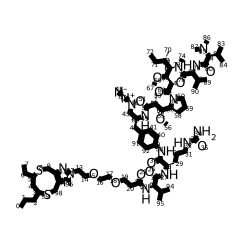 CCCC1CC(CC)SCc2nn(CCOCCOCCC(=O)N[C@H](C(=O)N[C@@H](CCCNC(N)=O)C(=O)NC3C=CC(C[C@@H](CN=[N+]=[N-])NC(=O)[C@H](C)[C@@H](OC)[C@@H]4CCCN4C(=O)C[C@@H](OC)[C@H]([C@@H](C)CC)N(C)C(=O)[C@@H](NC(=O)[C@H](C(C)C)N(C)C)C(C)C)=CC3)C(C)C)nc2CS1